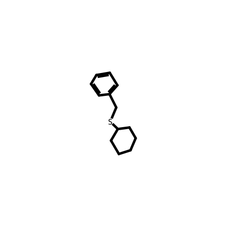 c1ccc(CSC2CCCCC2)cc1